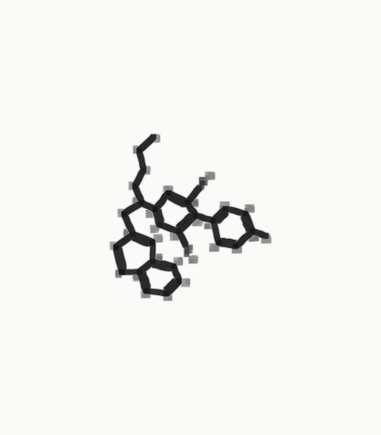 CCCCC(Cc1ccc2ccccc2c1)c1cc(F)c(-c2ccc(C)cc2)c(F)c1